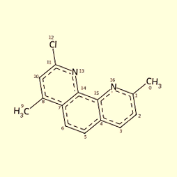 Cc1ccc2ccc3c(C)cc(Cl)nc3c2n1